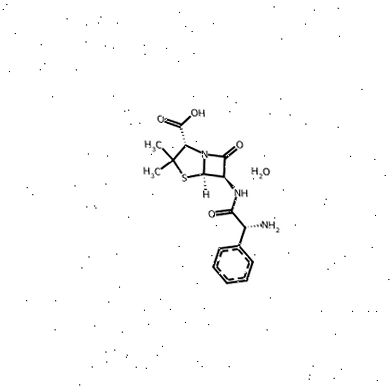 CC1(C)S[C@@H]2[C@H](NC(=O)[C@H](N)c3ccccc3)C(=O)N2[C@H]1C(=O)O.O